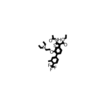 CCOC(=O)c1c(NC(C)=O)sc2c(OCCN(CC)CC)c(C3=CC(C)C(C(F)(F)F)C=C3)ccc12